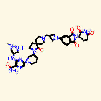 CN/C=C(\C=N)Nc1nc(N2CCCC(N3CCC4(CCN(CC5CN(c6ccc7c(c6)C(=O)N(C6CCC(=O)NC6=O)C7=O)C5)CC4)C3=O)C2)cnc1C(N)=O